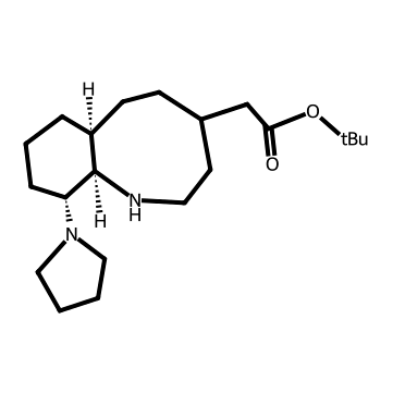 CC(C)(C)OC(=O)CC1CCN[C@@H]2[C@@H](CCC[C@H]2N2CCCC2)CC1